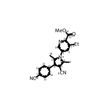 CCc1cc(-n2c(C)c(C#N)c(-c3ccc(C#N)cc3)c2C)cnc1C(=O)OC